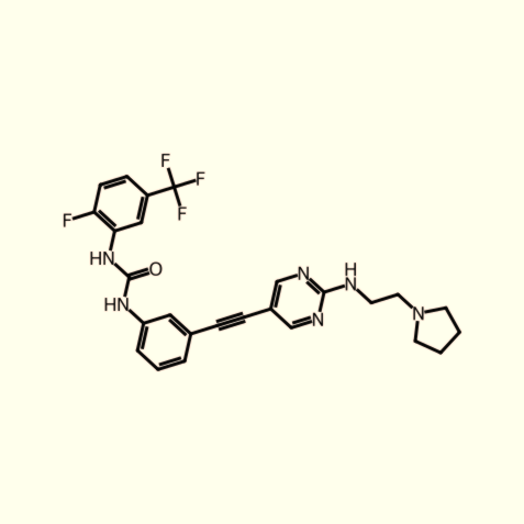 O=C(Nc1cccc(C#Cc2cnc(NCCN3CCCC3)nc2)c1)Nc1cc(C(F)(F)F)ccc1F